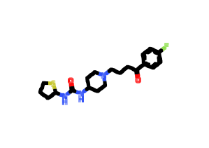 O=C(NC1CCN(CCCC(=O)c2ccc(F)cc2)CC1)NC1CCCS1